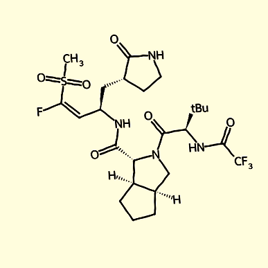 CC(C)(C)[C@@H](NC(=O)C(F)(F)F)C(=O)N1C[C@H]2CCC[C@H]2[C@@H]1C(=O)N[C@@H](/C=C(/F)S(C)(=O)=O)C[C@H]1CCNC1=O